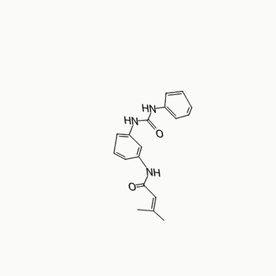 CC(C)=CC(=O)Nc1cccc(NC(=O)Nc2ccccc2)c1